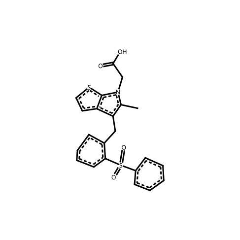 Cc1c(Cc2ccccc2S(=O)(=O)c2ccccc2)c2ccsc2n1CC(=O)O